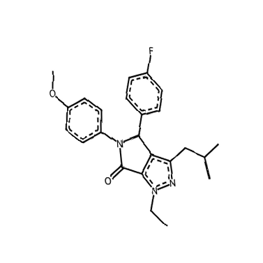 CCn1nc(CC(C)C)c2c1C(=O)N(c1ccc(OC)cc1)C2c1ccc(F)cc1